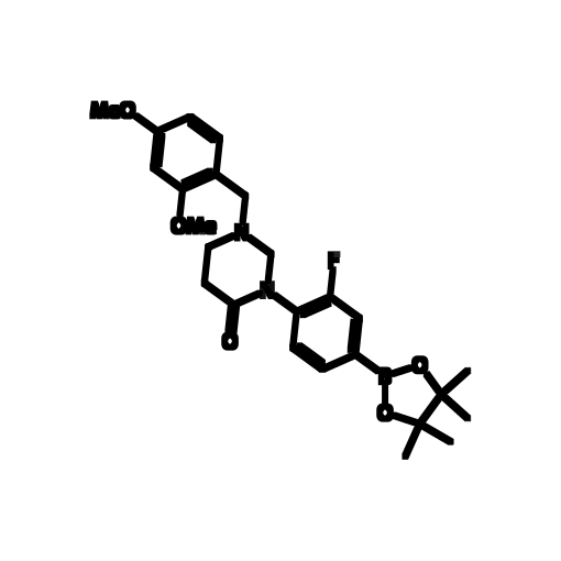 COc1ccc(CN2CCC(=O)N(c3ccc(B4OC(C)(C)C(C)(C)O4)cc3F)C2)c(OC)c1